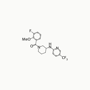 COc1c(F)cccc1C(=O)N1CCCC(Nc2ccc(C(F)(F)F)cn2)C1